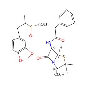 CC1(C)S[C@@H]2[C@H](NC(=O)Cc3ccccc3)C(=O)N2[C@H]1C(=O)O.CCCCCCCC[S+]([O-])C(C)Cc1ccc2c(c1)OCO2